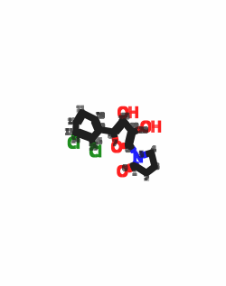 O=C1CCCN1c1oc(-c2cccc(Cl)c2Cl)c(O)c1O